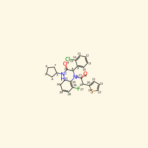 O=C(NC1CCCC1)C(c1ccccc1Cl)N(C(=O)Cc1cccs1)C1=C(F)C=CCC1